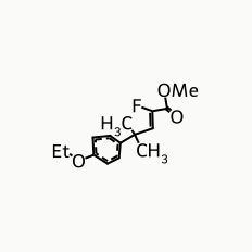 CCOc1ccc(C(C)(C)C=C(F)C(=O)OC)cc1